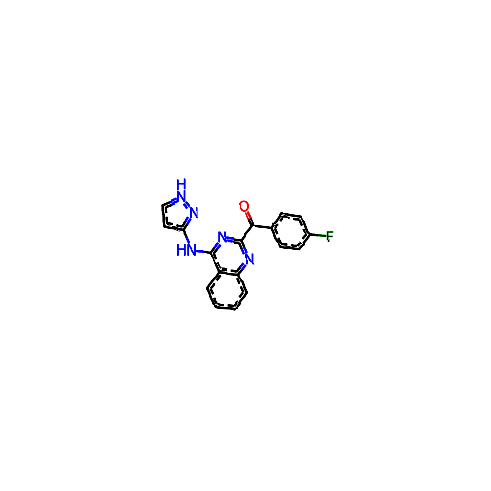 O=C(c1ccc(F)cc1)c1nc(Nc2cc[nH]n2)c2ccccc2n1